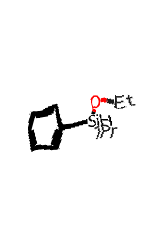 CCO[SiH](c1ccccc1)C(C)C